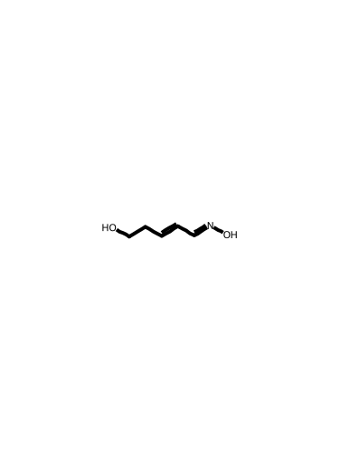 OCCC=CC=NO